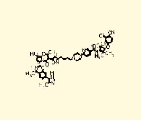 Cc1nc[nH]c1-c1ccc([C@H](C)NC(=O)[C@@H]2C[C@@H](O)C3OC(C)C(c4cc(CCCCN5CCN(c6ccc(C(=O)N[C@H]7C(C)(C)[C@H](Oc8ccc(C#N)c(Cl)c8)C7(C)C)cn6)CC5)no4)C(=O)N32)cc1